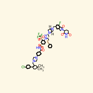 CC1(C)CCC(c2ccc(Cl)cc2)=C(CN2CCN(c3ccc(C(=O)NS(=O)(=O)c4ccc(N[C@H](CCN5C[C@H]6C[C@@H]5CN6Cc5cc(F)c6c(c5)CN(C5CCC(=O)NC5=O)C6=O)CSc5ccccc5)c(S(=O)(=O)C(F)(F)F)c4)cc3)CC2)C1